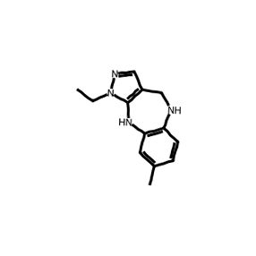 CCn1ncc2c1Nc1cc(C)ccc1NC2